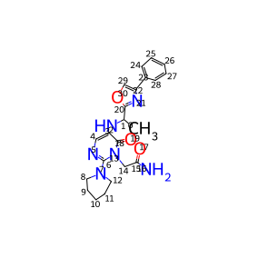 CC(Nc1cnc(N2CCCCC2)n(CC(N)=O)c1=O)c1nc(-c2ccccc2)co1